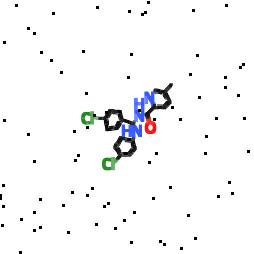 Cc1ccc(C(=O)NC(Nc2ccc(Cl)cc2)c2ccc(Cl)cc2)nc1